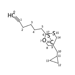 C#CCCCCC12OCC(CC3CC3)(CS1)CS2